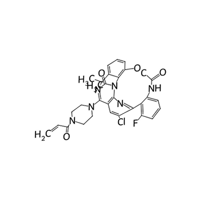 C=CC(=O)N1CCN(c2nc(=O)n3c4nc(c(Cl)cc24)-c2c(F)cccc2NC(=O)COc2cccc(C(C)C)c2-3)CC1